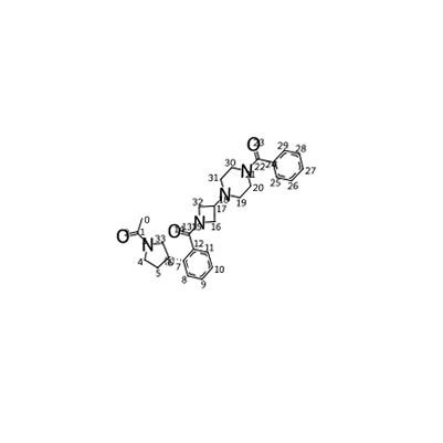 CC(=O)N1CC[C@@H](c2ccccc2C(=O)N2CC(N3CCN(C(=O)c4ccccc4)CC3)C2)C1